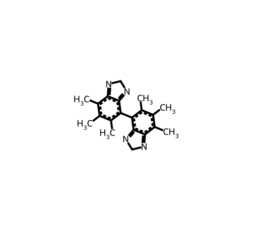 Cc1c(C)c(-c2c(C)c(C)c(C)c3c2=NCN=3)c2c(c1C)=NCN=2